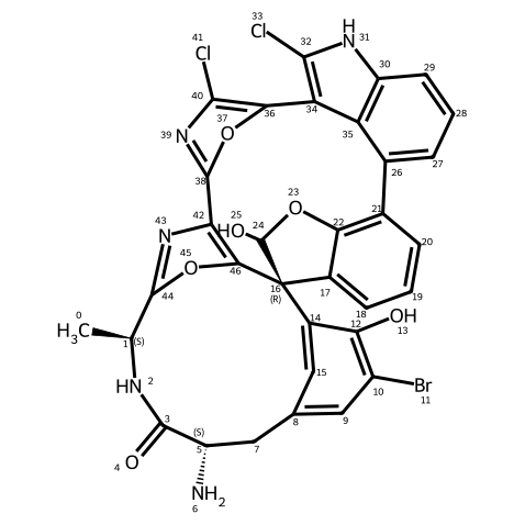 C[C@@H]1NC(=O)[C@@H](N)Cc2cc(Br)c(O)c(c2)[C@]23c4cccc(c4OC2O)-c2cccc4[nH]c(Cl)c(c24)-c2oc(nc2Cl)-c2nc1oc23